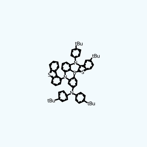 CC(C)(C)c1ccc(N(c2ccc(C(C)(C)C)cc2)c2ccc3c(c2)N(c2cccc4sc5ccccc5c24)c2cccc4c2B3c2sc3ccc(C(C)(C)C)cc3c2N4c2ccc(C(C)(C)C)cc2)cc1